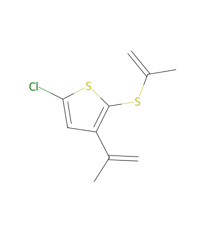 C=C(C)Sc1sc(Cl)cc1C(=C)C